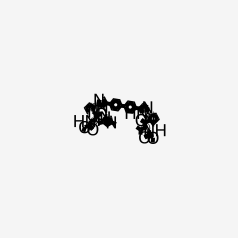 COC(=O)N[C@H](Cc1cn(C)cn1)C(=O)N1CCC[C@H]1c1ncc(-c2ccc(-c3ccc(-c4cnc([C@@H]5CCCN5C(=O)[C@H](NC(=O)OC)C(C)C)[nH]4)cc3)cc2)[nH]1